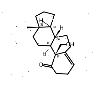 C[C@@]12CCC[C@H]1[C@@H]1CCC3=CCCC(=O)[C@]3(CO)[C@H]1CC2